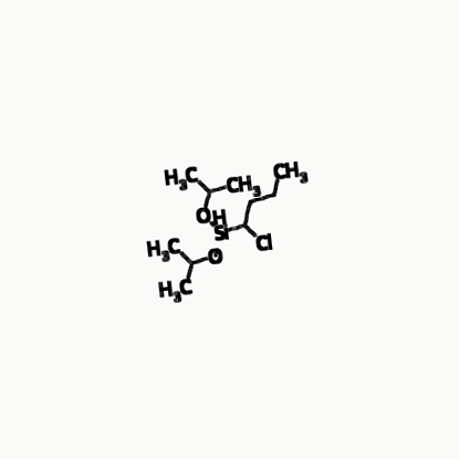 CCCC(Cl)[SiH](OC(C)C)OC(C)C